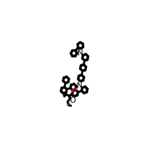 C=Cc1c(/C=C\C)oc2cc(-c3ccccc3N(c3ccc(-c4ccc(-c5cccc(-n6c7ccccc7c7ccccc76)c5)cc4)cc3)c3ccc(-c4ccccc4-c4ccccc4)cc3)ccc12